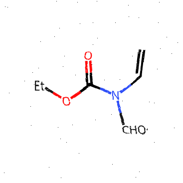 C=CN([C]=O)C(=O)OCC